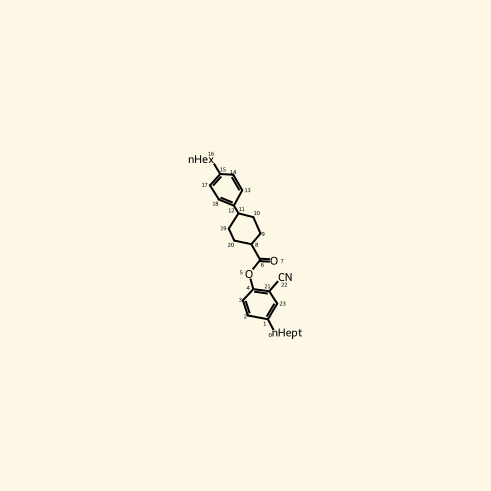 CCCCCCCc1ccc(OC(=O)C2CCC(c3ccc(CCCCCC)cc3)CC2)c(C#N)c1